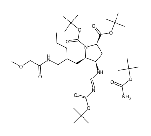 CC(C)(C)OC(N)=O.CCCC(CNC(=O)COC)C[C@@H]1[C@H](NC=NC(=O)OC(C)(C)C)C[C@H](C(=O)OC(C)(C)C)N1C(=O)OC(C)(C)C